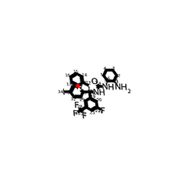 N[C@@H]1CCCC[C@H]1NC(=O)N[C@@](Cc1ccccc1)(c1cc(F)cc(C(F)(F)F)c1)c1ccc(I)cn1